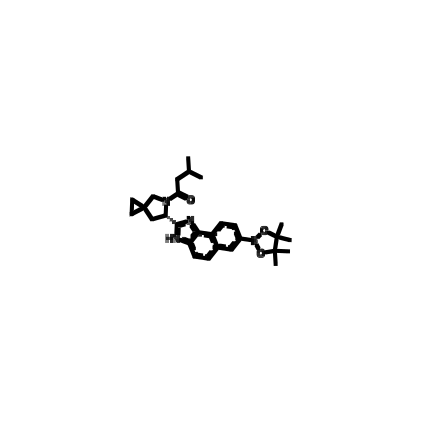 CC(C)CC(=O)N1CC2(CC2)C[C@H]1c1nc2c(ccc3cc(B4OC(C)(C)C(C)(C)O4)ccc32)[nH]1